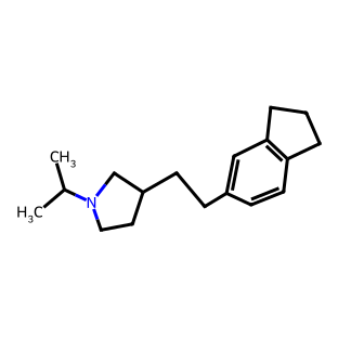 CC(C)N1CCC(CCc2ccc3c(c2)CCC3)C1